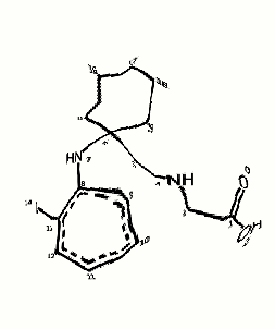 O=C(O)CNCC1(Nc2ccccc2I)CCCCC1